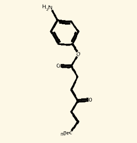 CCCCCCCCCCCCC(=O)CCC(=O)Oc1ccc(N)cc1